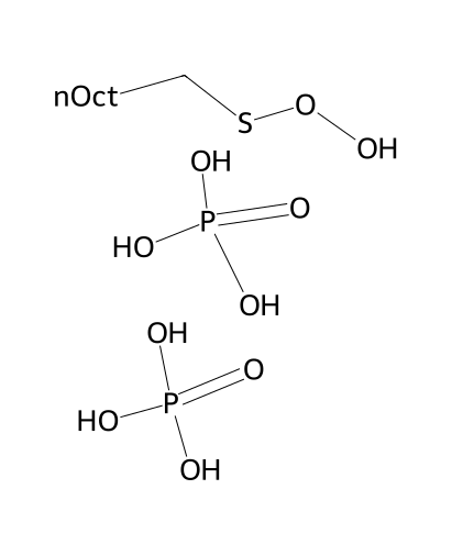 CCCCCCCCCSOO.O=P(O)(O)O.O=P(O)(O)O